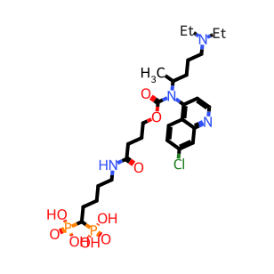 CCN(CC)CCCC(C)N(C(=O)OCCCC(=O)NCCCCC(P(=O)(O)O)P(=O)(O)O)c1ccnc2cc(Cl)ccc12